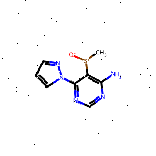 C[S+]([O-])c1c(N)ncnc1-n1cccn1